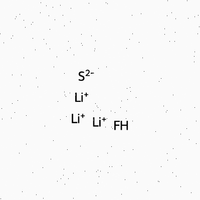 F.[Li+].[Li+].[Li+].[S-2]